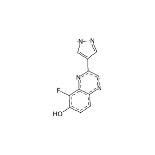 Oc1ccc2ncc(C3=C[N]N=C3)nc2c1F